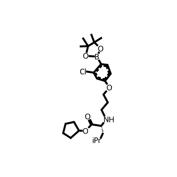 CC(C)C[C@@H](NCCCOc1ccc(B2OC(C)(C)C(C)(C)O2)c(Cl)c1)C(=O)OC1CCCC1